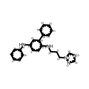 c1ccc(Nc2ccc(NCCCn3cncn3)c(-c3ccccc3)c2)cc1